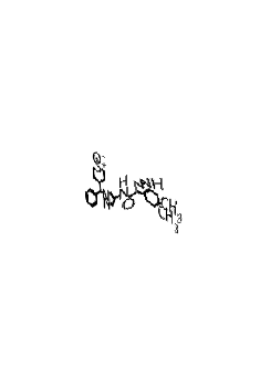 CC1(C)CCc2c(C(=O)Nc3cnn(C(c4ccccc4)C4CC[S+]([O-])CC4)c3)n[nH]c2C1